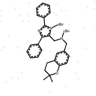 CCCCN(Cc1ccc2c(c1)CCC(C)(C)O2)Cc1c(-c2ccccc2)nc(-c2ccccc2)n1CCCC